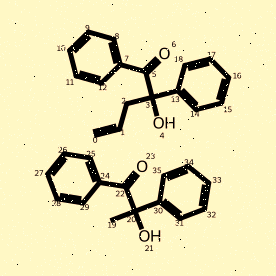 C=CCC(O)(C(=O)c1ccccc1)c1ccccc1.CC(O)(C(=O)c1ccccc1)c1ccccc1